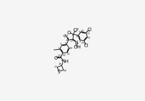 Cc1cc(C2=NOC(c3cc(Cl)cc(Cl)c3)(C(F)(F)F)C2=NO)ccc1C(=O)NC1CSC1